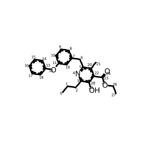 CCCc1nc(Cc2cccc(Oc3ccccc3)c2)c(C)c(C(=O)OCC)c1O